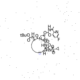 C[C@H](NC(=O)O[C@@H]1C[C@H]2C(=O)N[C@]3(C(=O)NS(=O)(=O)C4CC4)C[C@H]3/C=C\CCCCC[C@H](NC(=O)OC(C)(C)C)C(=O)N2C1)c1ccc(F)cn1